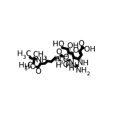 CCC(C)(CC)NC(CCCCNC(=O)O[C@@H]([C@@H]1OC(C(=O)O)=C[C@H](NC(=N)N)[C@H]1NC(C)=O)[C@H](O)CO)C(=O)O